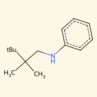 CC(C)(C)C(C)(C)CNc1ccccc1